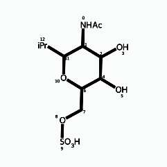 CC(=O)NC1C(O)C(O)C(COS(=O)(=O)O)OC1C(C)C